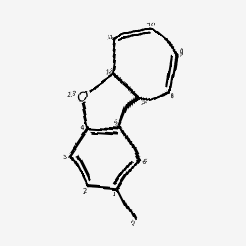 Cc1ccc2c(c1)C1C=CC=CC1O2